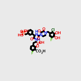 O=C(O)c1c(F)ccc2c1OB(O)[C@@H](NC(=O)[C@H](NC(=O)N1CCN(Cc3cc(F)c(O)c(O)c3Cl)C(=O)C1=O)c1cccc(CP(=O)(O)O)c1)C2